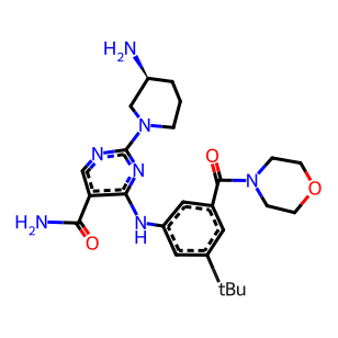 CC(C)(C)c1cc(Nc2nc(N3CCC[C@H](N)C3)ncc2C(N)=O)cc(C(=O)N2CCOCC2)c1